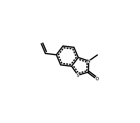 C=Cc1ccc2c(c1)sc(=O)n2C